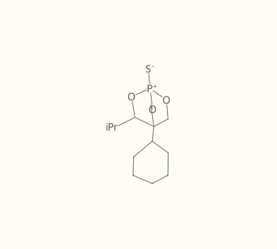 CC(C)C1O[P+]2([S-])OCC1(C1CCCCC1)CO2